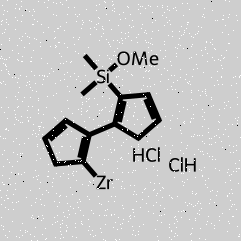 CO[Si](C)(C)C1=C(C2=[C]([Zr])CC=C2)CC=C1.Cl.Cl